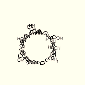 CC[C@]1(C)NC(=O)[C@H](Cc2c[nH]c3ncccc23)NC(=O)[C@H]([C@@H](C)O)NC(=O)[C@@H]2CCCN2C(=O)[C@H](Cc2ccc(O)cc2)NC(=O)[C@H](C(C)(C)C)NC(=O)[C@@H](NC(C)=O)CSCc2cccc(c2)CSC[C@@H](C(N)=O)NC(=O)[C@H]([C@@H](C)O)NC(=O)[C@](C)(C(C)C)NC(=O)[C@H](Cc2ccc(O)cc2)NC(=O)[C@H](C)NC1=O